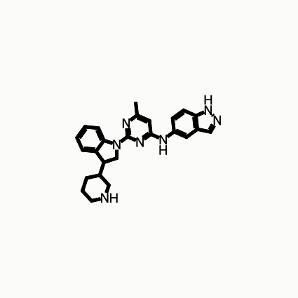 Cc1cc(Nc2ccc3[nH]ncc3c2)nc(N2CC(C3CCCNC3)c3ccccc32)n1